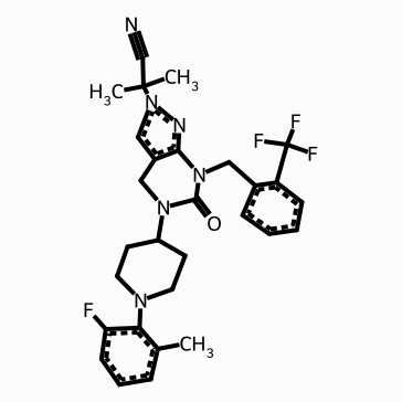 Cc1cccc(F)c1N1CCC(N2Cc3cn(C(C)(C)C#N)nc3N(Cc3ccccc3C(F)(F)F)C2=O)CC1